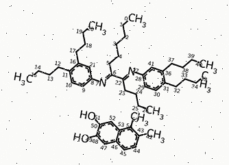 CCCCCCC(=Nc1ccc(CCCC)c(CCCC)c1)C(CCCC)=Nc1ccc(CCCC)c(CCCC)c1.Cc1ccc2cc(O)c(O)cc2c1C